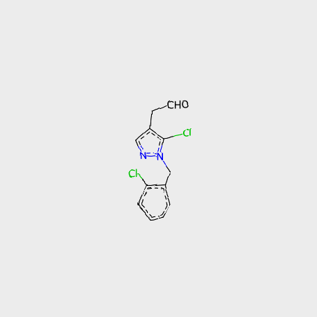 O=CCc1cnn(Cc2ccccc2Cl)c1Cl